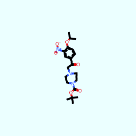 CC(C)Oc1ccc(C(=O)CN2CCN(C(=O)OC(C)(C)C)CC2)cc1[N+](=O)[O-]